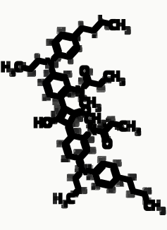 CCCCc1ccc(N(CCC)c2ccc(C3=C(O)/C(=C4C=C/C(=[N+](\CCC)c5ccc(CCCC)cc5)C=C\4N(C)C(=O)CC)C3=O)c(N(C)C(=O)CC)c2)cc1